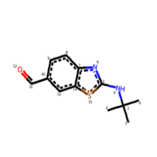 CC(C)(C)Nc1nc2ccc(C=O)cc2s1